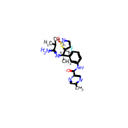 Cc1cnc(C(=O)Nc2ccc(F)c([C@@]3(C)N=C(N)C(C)(C)[S@@]4(=O)=NCC[C@@H]34)c2)cn1